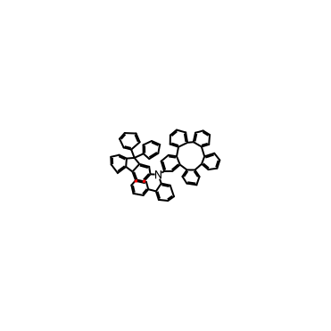 c1ccc(-c2ccccc2N(c2ccc3c(c2)C(c2ccccc2)(c2ccccc2)c2ccccc2-3)c2ccc3c4ccccc4c4ccccc4c4ccccc4c4ccccc4c3c2)cc1